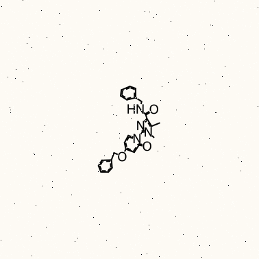 Cc1c(C(=O)NCc2ccccc2)nc(-n2ccc(OCc3ccccc3)cc2=O)n1C